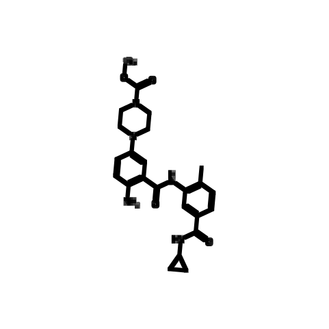 Cc1ccc(C(=O)NC2CC2)cc1NC(=O)c1cc(N2CCN(C(=O)OC(C)(C)C)CC2)ccc1N